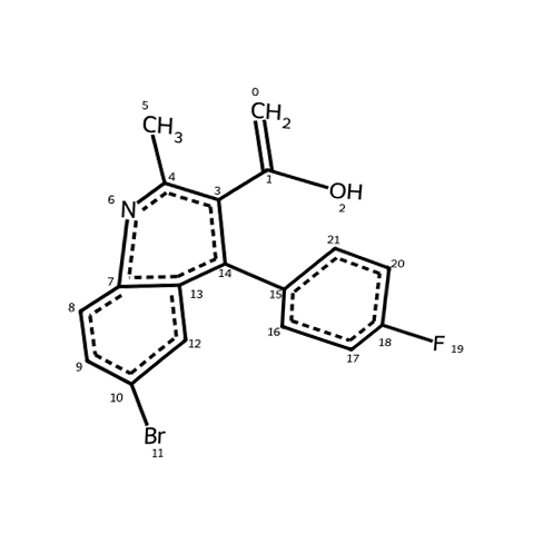 C=C(O)c1c(C)nc2ccc(Br)cc2c1-c1ccc(F)cc1